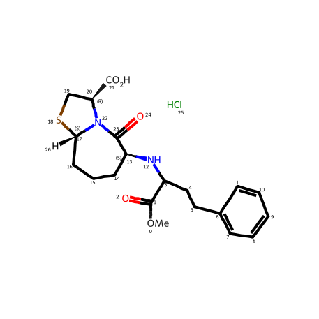 COC(=O)C(CCc1ccccc1)N[C@H]1CCC[C@@H]2SC[C@@H](C(=O)O)N2C1=O.Cl